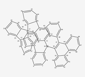 c1ccc(-c2ccccc2N(c2ccc3c(c2)C2(c4ccccc4-c4ccccc42)c2ccccc2-3)c2c(-c3ccccc3)c3ccccc3c3ccccc23)cc1